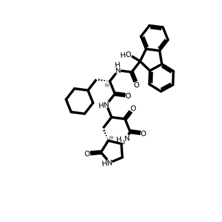 NC(=O)C(=O)C(C[C@@H]1CCNC1=O)NC(=O)[C@H](CC1CCCCC1)NC(=O)C1(O)c2ccccc2-c2ccccc21